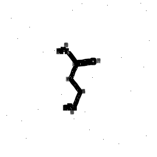 C[CH]CC(=O)CCCCCC